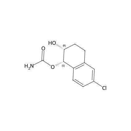 NC(=O)O[C@H]1c2ccc(Cl)cc2CC[C@H]1O